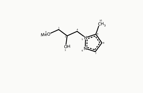 COCC(O)Cn1nccc1C